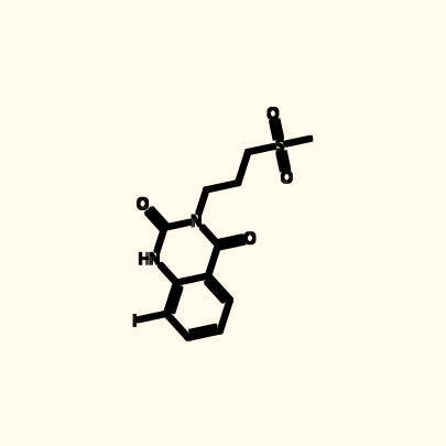 CS(=O)(=O)CCCn1c(=O)[nH]c2c(I)cccc2c1=O